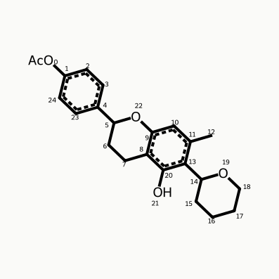 CC(=O)Oc1ccc(C2CCc3c(cc(C)c(C4CCCCO4)c3O)O2)cc1